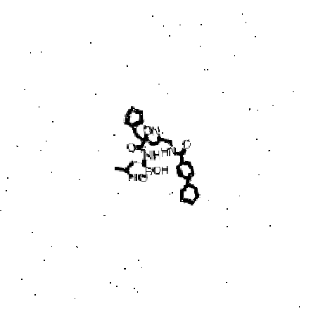 CC(C)C[C@H](NC(=O)C1(Cc2ccccc2)CC(CNC(=O)c2ccc(-c3ccccc3)cc2)=NO1)B(O)O